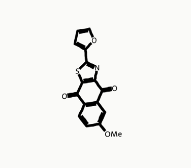 COc1ccc2c(c1)C(=O)c1nc(-c3ccco3)sc1C2=O